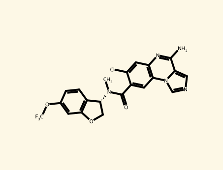 CN(C(=O)c1cc2c(cc1Cl)nc(N)c1cncn12)[C@@H]1COc2cc(OC(F)(F)F)ccc21